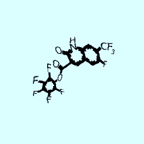 O=C(Oc1c(F)c(F)c(F)c(F)c1F)c1cc2cc(F)c(C(F)(F)F)cc2[nH]c1=O